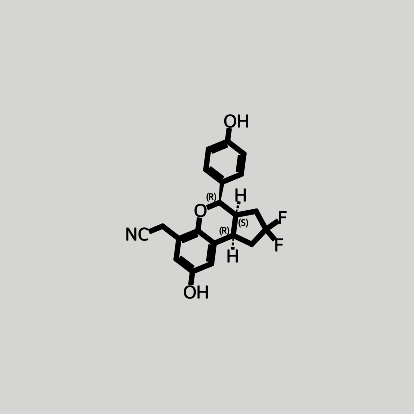 N#CCc1cc(O)cc2c1O[C@@H](c1ccc(O)cc1)[C@H]1CC(F)(F)C[C@@H]21